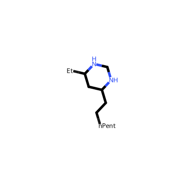 CCCCCCCC1CC(CC)NCN1